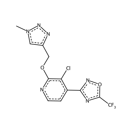 Cn1cc(COc2nccc(-c3noc(C(F)(F)F)n3)c2Cl)nn1